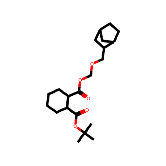 CC(C)(C)OC(=O)C1CCCCC1C(=O)OCOCC1CC2CCC1C2